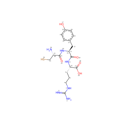 N=C(N)NCCC[C@H](NC(=O)[C@H](Cc1ccc(O)cc1)NC(=O)[C@@H](N)CS)C(=O)O